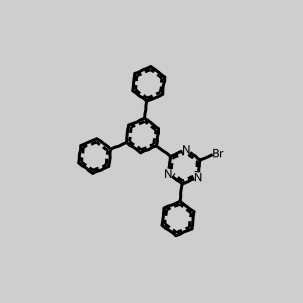 Brc1nc(-c2ccccc2)nc(-c2cc(-c3ccccc3)cc(-c3ccccc3)c2)n1